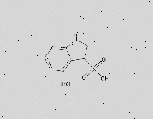 Cl.O=S(=O)(O)C1CNc2ccccc21